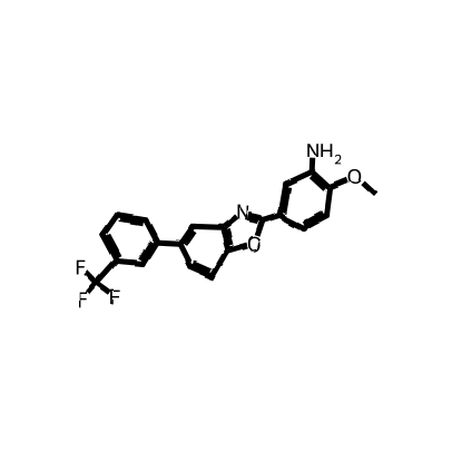 COc1ccc(-c2nc3cc(-c4cccc(C(F)(F)F)c4)ccc3o2)cc1N